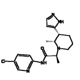 C[C@@H]1[C@H](c2ccn[nH]2)CCCN1[C@@H](C)C(=O)Nc1ccc(Cl)cn1